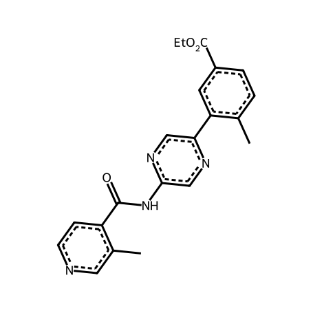 CCOC(=O)c1ccc(C)c(-c2cnc(NC(=O)c3ccncc3C)cn2)c1